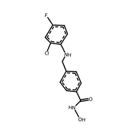 O=C(NO)c1ccc(CNc2ccc(F)cc2Cl)cc1